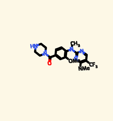 CNc1nc(N(C)c2ccc(C(=O)N3CCNCC3)cc2OC)ncc1C(F)(F)F